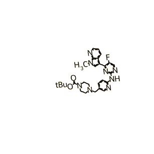 Cn1cc(-c2nc(Nc3ccc(CN4CCN(C(=O)OC(C)(C)C)CC4)cn3)ncc2F)c2cccnc21